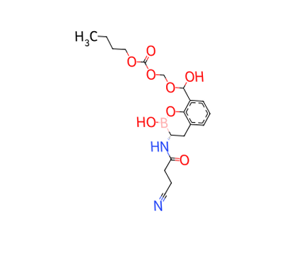 CCCCOC(=O)OCOC(O)c1cccc2c1OB(O)[C@@H](NC(=O)CCC#N)C2